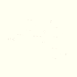 CCCC1CCCC[C@@H]1OC(=O)OC(c1cccc(F)c1)c1cccc(F)c1